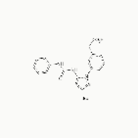 CCOC(=O)Cc1cccc(-n2nc(C(C)(C)C)cc2NC(=O)Nc2ccccc2)c1